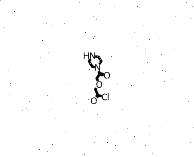 O=C(Cl)COCC(=O)N1CCNCC1